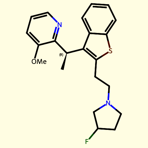 COc1cccnc1[C@H](C)c1c(CCN2CCC(F)C2)sc2ccccc12